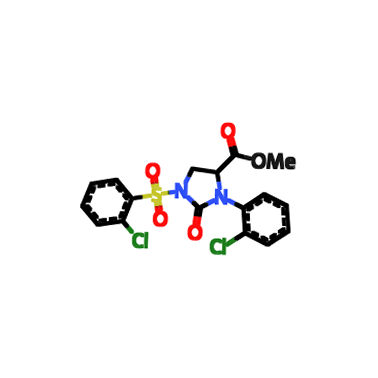 COC(=O)C1CN(S(=O)(=O)c2ccccc2Cl)C(=O)N1c1ccccc1Cl